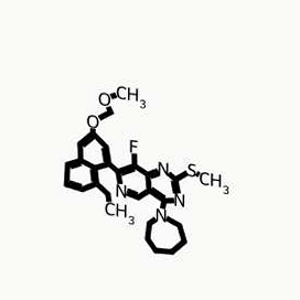 CCc1cccc2cc(OCOC)cc(-c3ncc4c(N5CCCCCC5)nc(SC)nc4c3F)c12